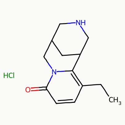 CCc1ccc(=O)n2c1C1CNCC(C1)C2.Cl